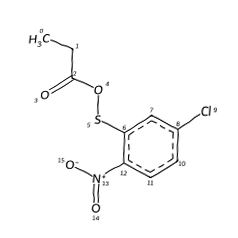 CCC(=O)OSc1cc(Cl)ccc1[N+](=O)[O-]